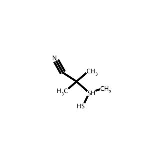 C[SH](S)C(C)(C)C#N